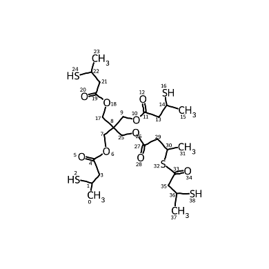 CC(S)CC(=O)OCC(COC(=O)CC(C)S)(COC(=O)CC(C)S)COC(=O)CC(C)SC(=O)CC(C)S